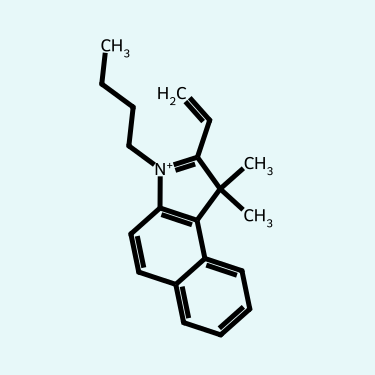 C=CC1=[N+](CCCC)c2ccc3ccccc3c2C1(C)C